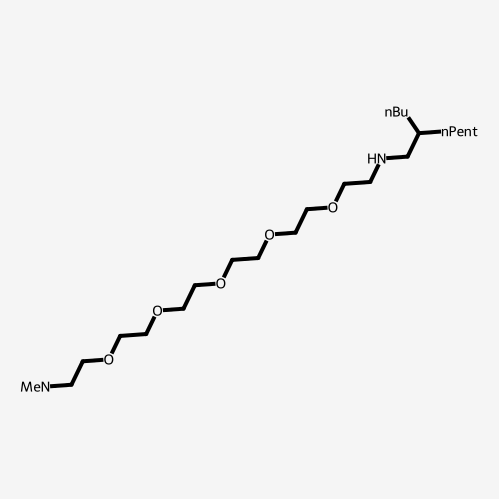 CCCCCC(CCCC)CNCCOCCOCCOCCOCCOCCNC